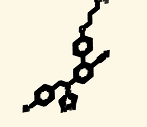 CCCCOc1ccc(-c2cc(N(Cc3ccc(Br)cc3)n3cnnc3)ccc2C#N)cc1